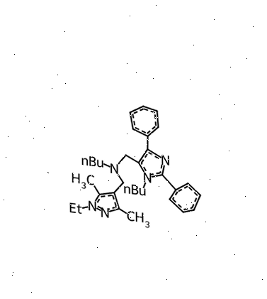 CCCCN(Cc1c(C)nn(CC)c1C)Cc1c(-c2ccccc2)nc(-c2ccccc2)n1CCCC